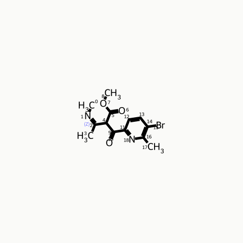 C/N=C(/C)C(C(=O)OC)C(=O)c1ccc(Br)c(C)n1